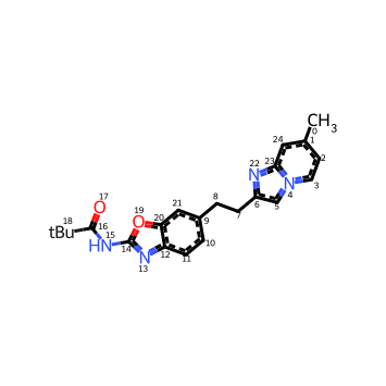 Cc1ccn2cc(CCc3ccc4nc(NC(=O)C(C)(C)C)oc4c3)nc2c1